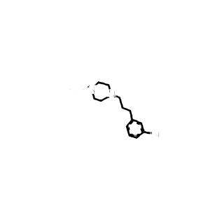 O=C(O)N1CCN(CCCc2cccc(Br)c2)CC1